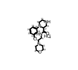 Cl.O=C(NCCN1CCOCC1)C1CNCCN1c1cccc(Cl)c1